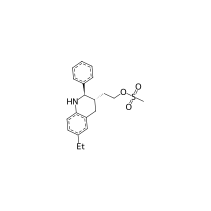 CCc1ccc2c(c1)C[C@@H](CCOS(C)(=O)=O)[C@H](c1ccccc1)N2